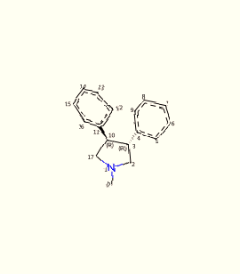 CN1C[C@@H](c2ccccc2)[C@H](c2ccccc2)C1